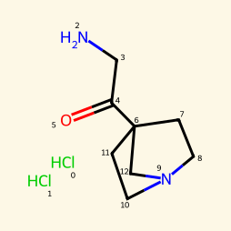 Cl.Cl.NCC(=O)C12CCN(CC1)C2